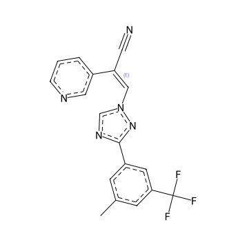 Cc1cc(-c2ncn(/C=C(/C#N)c3cccnc3)n2)cc(C(F)(F)F)c1